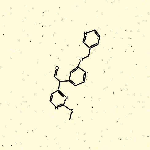 CSc1nccc(C(C=O)c2cccc(OCc3cccnc3)c2)n1